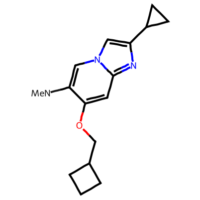 CNc1cn2cc(C3CC3)nc2cc1OCC1CCC1